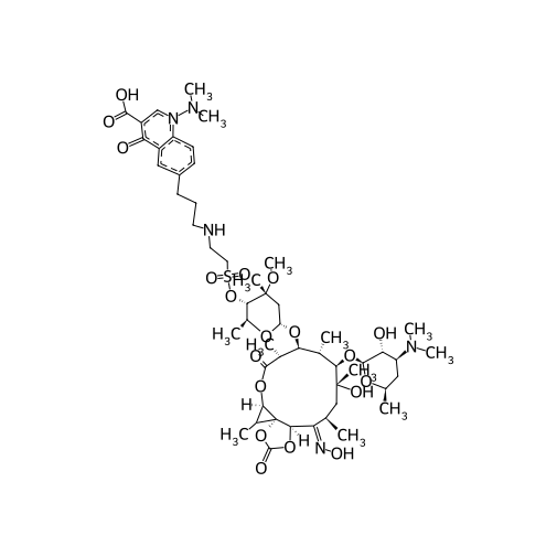 CO[C@]1(C)C[C@H](O[C@H]2[C@H](C)[C@@H](O[C@@H]3O[C@H](C)C[C@H](N(C)C)[C@H]3O)[C@](C)(O)C[C@@H](C)/C(=N\O)[C@H]3OC(=O)O[C@@]34C(C)[C@H]4OC(=O)[C@@H]2C)O[C@@H](C)[C@@H]1OS(=O)(=O)CCNCCCc1ccc2c(c1)c(=O)c(C(=O)O)cn2N(C)C